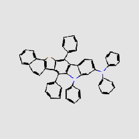 c1ccc(-c2c3sc4c5ccccc5ccc4c3c(-c3ccccc3)c3c2c2ccc(N(c4ccccc4)c4ccccc4)cc2n3-c2ccccc2)cc1